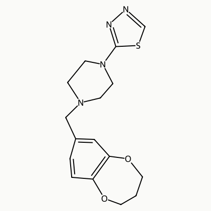 c1nnc(N2CCN(Cc3ccc4c(c3)OCCCO4)CC2)s1